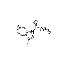 Cc1cn(C(N)=O)c2cnccc12